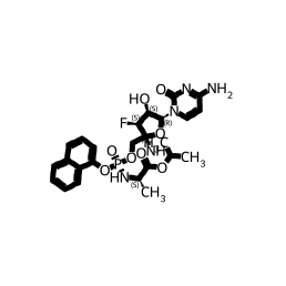 CC(C)OC(=O)[C@H](C)NP(=O)(OC[C@@]1(N)O[C@@H](n2ccc(N)nc2=O)[C@H](O)[C@@H]1F)Oc1cccc2ccccc12